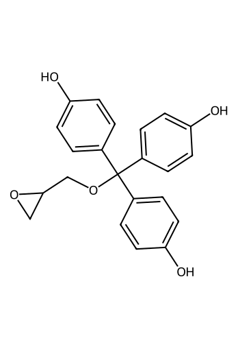 Oc1ccc(C(OCC2CO2)(c2ccc(O)cc2)c2ccc(O)cc2)cc1